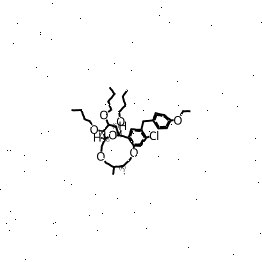 CCCCOC1[C@@H](OCCCC)[C@H]2O[C@H](COCC(C)[C@@H](C)COc3cc(Cl)c(Cc4ccc(OCC)cc4)cc32)[C@H]1OCCCC